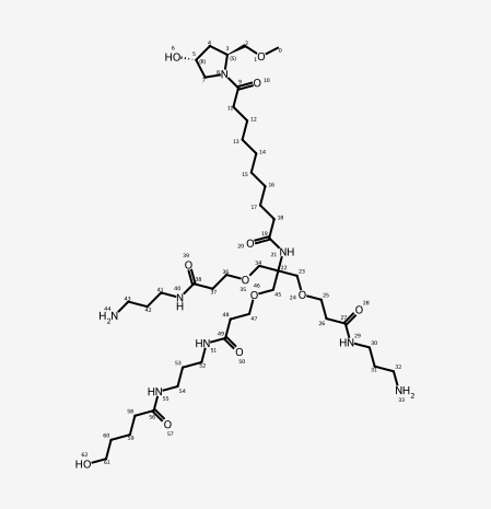 COC[C@@H]1C[C@@H](O)CN1C(=O)CCCCCCCCC(=O)NC(COCCC(=O)NCCCN)(COCCC(=O)NCCCN)COCCC(=O)NCCCNC(=O)CCCCO